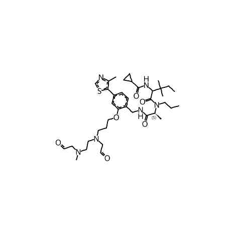 CCCN(C(=O)C(NC(=O)C1CC1)C(C)(C)CC)[C@@H](C)C(=O)NCc1ccc(-c2scnc2C)cc1OCCCN(CC=O)CCN(C)CC=O